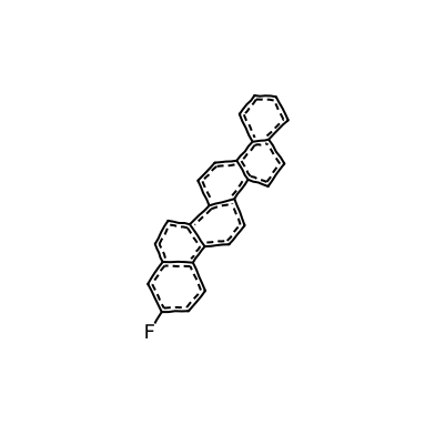 Fc1ccc2c(ccc3c2ccc2c4ccc5ccccc5c4ccc32)c1